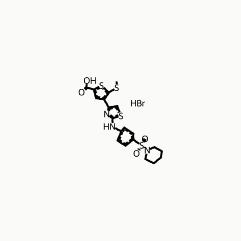 Br.CSc1sc(C(=O)O)cc1-c1csc(Nc2ccc(S(=O)(=O)N3CCCCC3)cc2)n1